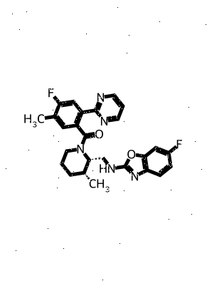 Cc1cc(C(=O)N2CCC[C@@H](C)[C@H]2CNc2nc3ccc(F)cc3o2)c(-c2ncccn2)cc1F